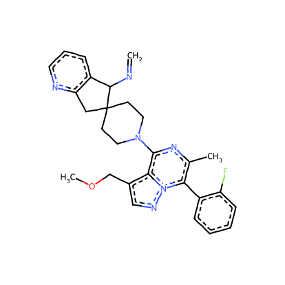 C=NC1c2cccnc2CC12CCN(c1nc(C)c(-c3ccccc3F)n3ncc(COC)c13)CC2